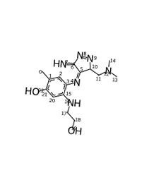 Cc1cc(N=C2C(=N)N=NC2CN(C)C)c(NCCO)cc1O